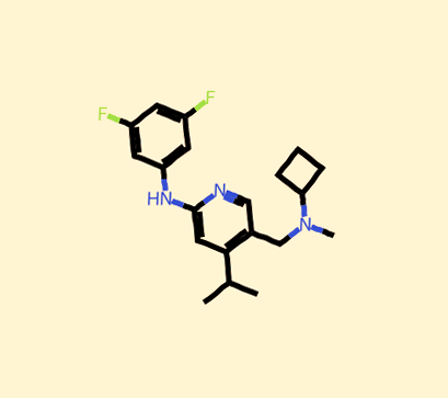 CC(C)c1cc(Nc2cc(F)cc(F)c2)ncc1CN(C)C1CCC1